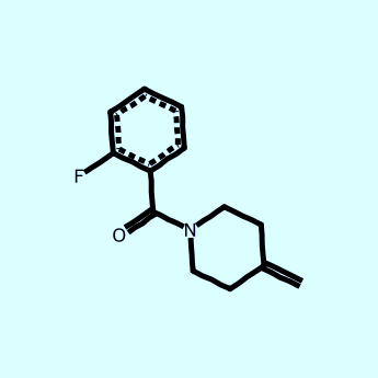 C=C1CCN(C(=O)c2ccccc2F)CC1